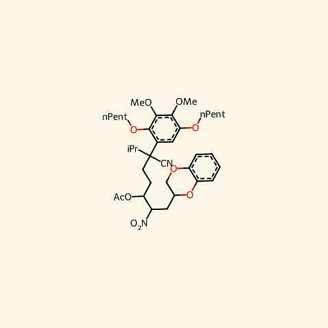 CCCCCOc1cc(C(C#N)(CCC(OC(C)=O)C(CC2COc3ccccc3O2)[N+](=O)[O-])C(C)C)c(OCCCCC)c(OC)c1OC